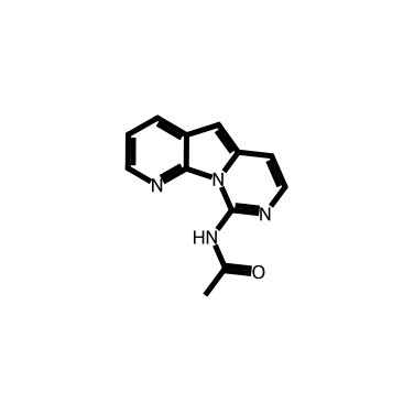 CC(=O)Nc1nccc2cc3cccnc3n12